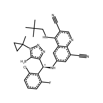 Bc1c([C@@H](Nc2cc(C#N)c3ncc(C#N)c(NCC(C)(C)C)c3c2)c2c(F)cccc2Cl)nnn1C1(C)CC1